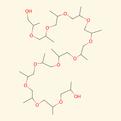 CC(O)COC(C)COC(C)COC(C)COC(C)COC(C)COC(C)COC(C)COC(C)COC(C)COC(C)COC(C)CO